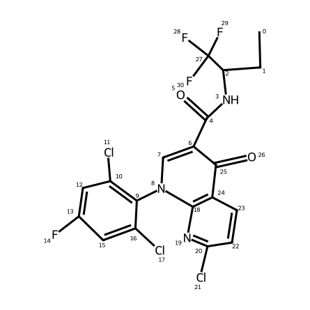 CCC(NC(=O)c1cn(-c2c(Cl)cc(F)cc2Cl)c2nc(Cl)ccc2c1=O)C(F)(F)F